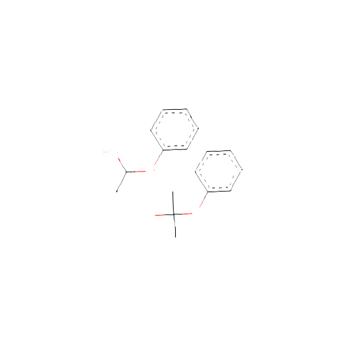 CC(C)(O)Oc1ccccc1.CC(O)Oc1ccccc1